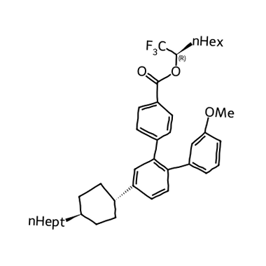 CCCCCCC[C@H]1CC[C@H](c2ccc(-c3cccc(OC)c3)c(-c3ccc(C(=O)O[C@H](CCCCCC)C(F)(F)F)cc3)c2)CC1